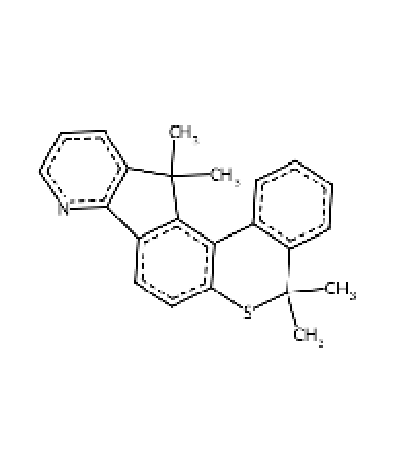 CC1(C)Sc2ccc3c(c2-c2ccccc21)C(C)(C)c1cccnc1-3